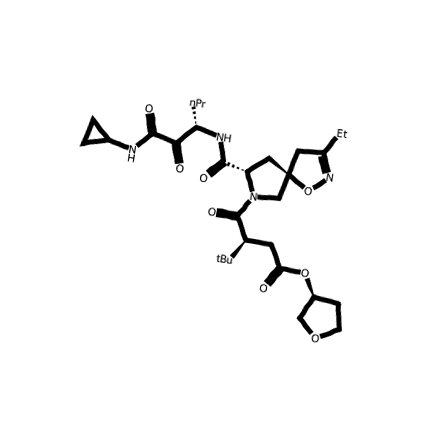 CCC[C@H](NC(=O)[C@@H]1C[C@]2(CC(CC)=NO2)CN1C(=O)[C@@H](CC(=O)O[C@H]1CCOC1)C(C)(C)C)C(=O)C(=O)NC1CC1